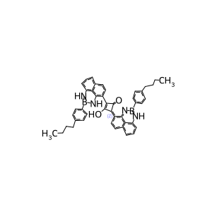 CCCCc1ccc(B2N=c3/c(=C4\C(=O)C(c5ccc6cccc7c6c5NB(c5ccc(CCCC)cc5)N7)=C4O)ccc4cccc(c34)N2)cc1